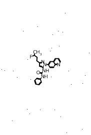 CC(F)CCc1cc(NC(=O)Nc2ccccc2)n(-c2ccc3ncccc3c2)n1